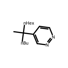 CCCCCCC(C)(CCCC)c1ccnnc1